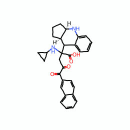 O=C(CC(NC1CC1)(C(=O)O)C1c2ccccc2N[C@@H]2CCC[C@H]12)C(=O)c1ccc2ccccc2c1